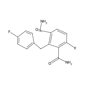 NC(=O)c1ccc(F)c(C(N)=O)c1Cc1ccc(F)cc1